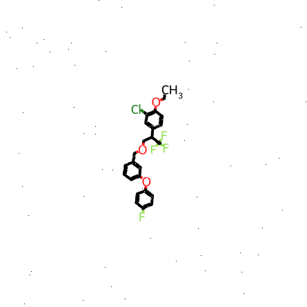 CCOc1ccc(C(COCc2cccc(Oc3ccc(F)cc3)c2)C(F)(F)F)cc1Cl